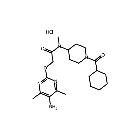 Cc1nc(OCC(=O)N(C)C2CCN(C(=O)C3CCCCC3)CC2)nc(C)c1N.Cl